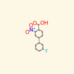 O=C(O)c1ccc(-c2cccc(F)c2)cc1[N+](=O)[O-]